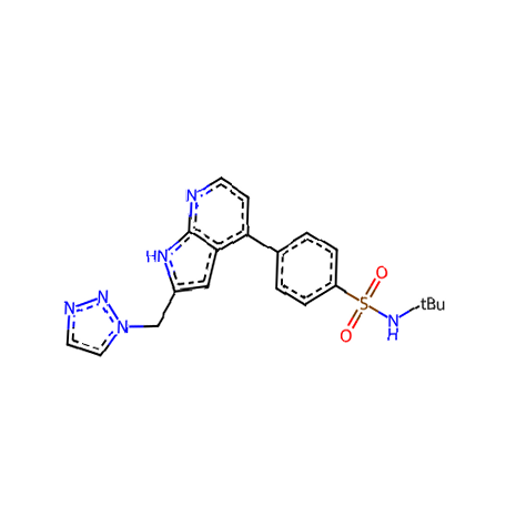 CC(C)(C)NS(=O)(=O)c1ccc(-c2ccnc3[nH]c(Cn4ccnn4)cc23)cc1